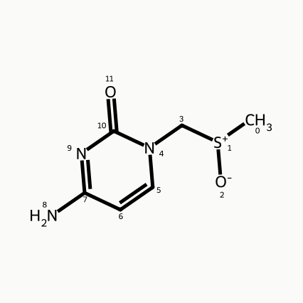 C[S+]([O-])Cn1ccc(N)nc1=O